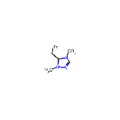 CC(C)CC1N(C)N=CN1C(Cl)(Cl)Cl